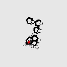 C1CCOCC1.C1CCOCC1.C1CCOCC1.C[C@@H]1CC[C@H]2[C@@H](C)C(=O)O[C@@H]3O[C@]4(C)CC[C@@H]1[C@]32OO4